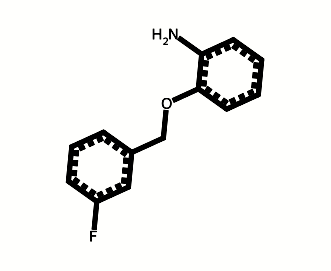 Nc1ccccc1OCc1cccc(F)c1